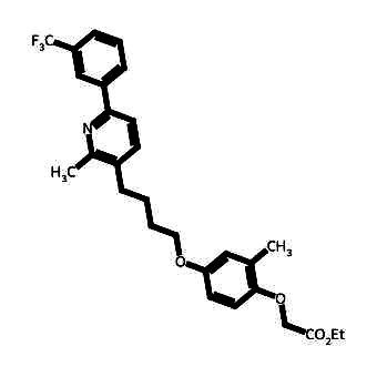 CCOC(=O)COc1ccc(OCCCCc2ccc(-c3cccc(C(F)(F)F)c3)nc2C)cc1C